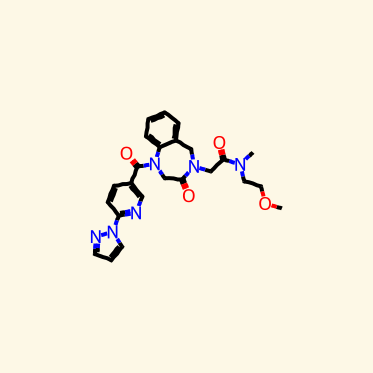 COCCN(C)C(=O)CN1Cc2ccccc2N(C(=O)c2ccc(-n3cccn3)nc2)CC1=O